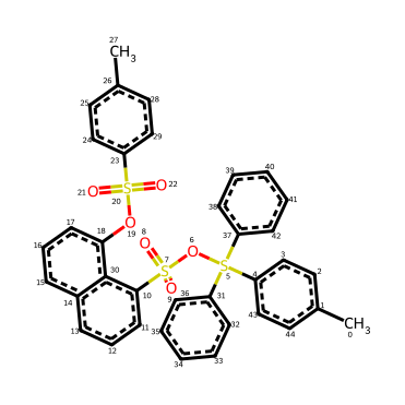 Cc1ccc(S(OS(=O)(=O)c2cccc3cccc(OS(=O)(=O)c4ccc(C)cc4)c23)(c2ccccc2)c2ccccc2)cc1